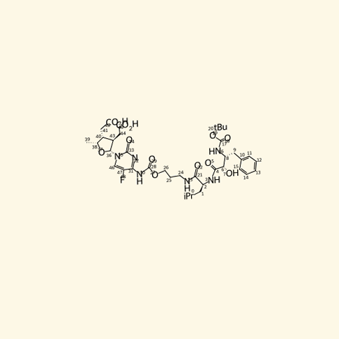 CC(C)C[C@H](NC(=O)[C@@H](O)[C@@H](Cc1ccccc1)NC(=O)OC(C)(C)C)C(=O)NCCCOC(=O)Nc1nc(=O)n([C@@H]2O[C@H](C)[C@H](CC(=O)O)[C@H]2CC(=O)O)cc1F